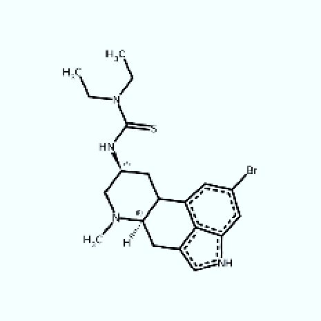 CCN(CC)C(=S)N[C@H]1CC2c3cc(Br)cc4[nH]cc(c34)C[C@H]2N(C)C1